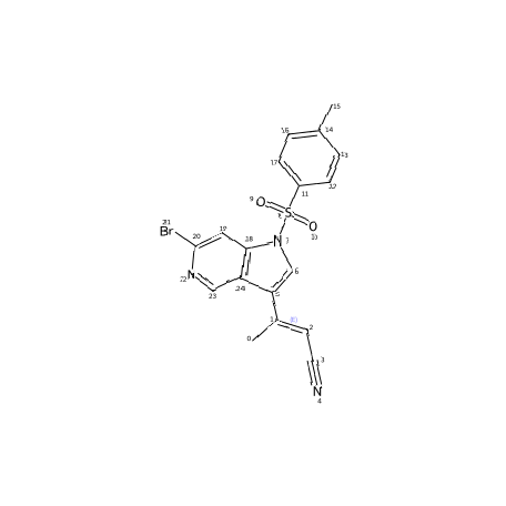 C/C(=C\C#N)c1cn(S(=O)(=O)c2ccc(C)cc2)c2cc(Br)ncc12